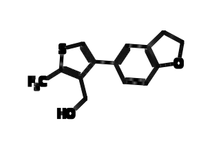 OCc1c(-c2ccc3c(c2)CCO3)csc1C(F)(F)F